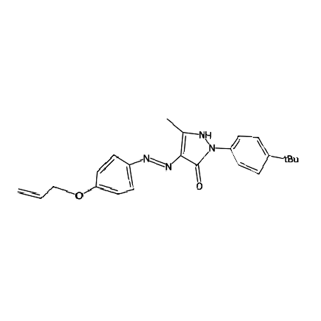 C=CCOc1ccc(N=Nc2c(C)[nH]n(-c3ccc(C(C)(C)C)cc3)c2=O)cc1